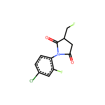 O=C1CC(CF)C(=O)N1c1ccc(Cl)cc1F